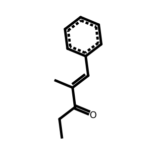 CCC(=O)/C(C)=C/c1ccccc1